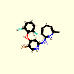 CC1=CCC=CC(Nc2cc(Oc3c(F)cccc3F)c(Br)cn2)=N1